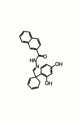 O=C(NN=CC1(c2ccc(O)cc2O)C=CC=CC1)c1ccc2ccccc2c1